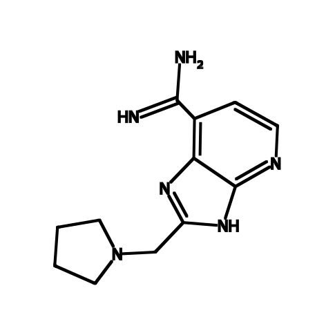 N=C(N)c1ccnc2[nH]c(CN3CCCC3)nc12